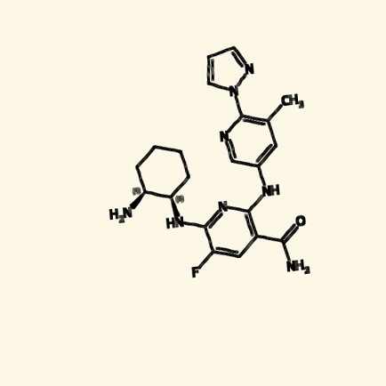 Cc1cc(Nc2nc(N[C@@H]3CCCC[C@@H]3N)c(F)cc2C(N)=O)cnc1-n1cccn1